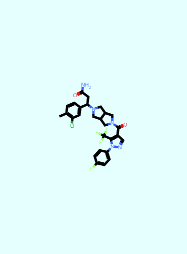 Cc1ccc(C(CC(N)=O)N2CC3CN(C(=O)c4cnn(-c5ccc(F)cc5)c4C(F)(F)F)CC3C2)cc1Cl